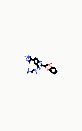 CN(C)CCN(C)c1nc(C2COc3ccccc3O2)nc2ccc(-c3cn[nH]c3)cc12